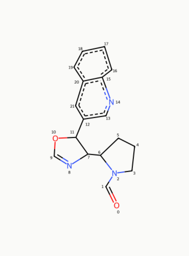 O=CN1CCCC1C1N=COC1c1cnc2ccccc2c1